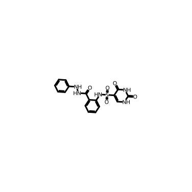 O=C(NNc1ccccc1)c1ccccc1NS(=O)(=O)c1c[nH]c(=O)[nH]c1=O